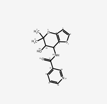 CC1(C)Oc2ccsc2C(NC(=O)c2cccnc2)C1O